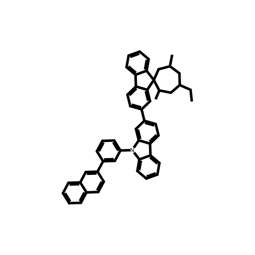 CCC1CC(C)CC2(c3ccccc3-c3ccc(-c4ccc5c6ccccc6n(-c6cccc(-c7ccc8ccccc8c7)c6)c5c4)cc32)C(C)C1